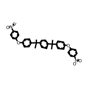 CC(C)(c1ccc(Oc2ccc([N+](=O)[O-])cc2)cc1)c1ccc(C(C)(C)c2ccc(Oc3ccc([N+](=O)[O-])cc3)cc2)cc1